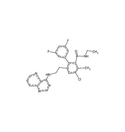 CCNC(=O)c1c(C)c(Cl)cc(CCNc2ncnc3cccnc23)c1-c1cc(F)cc(F)c1